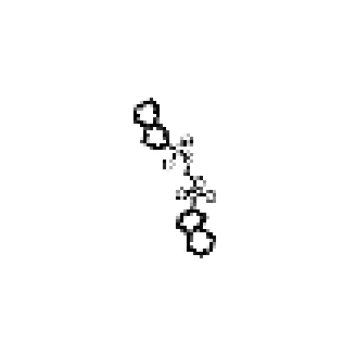 O=S(=O)(OCOS(=O)(=O)c1ccc2ccccc2c1)c1ccc2ccccc2c1